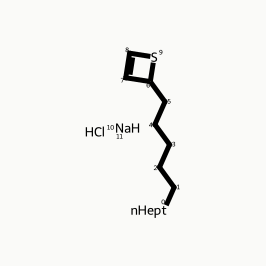 CCCCCCCCCCCCC1C=CS1.Cl.[NaH]